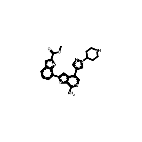 COC(=O)c1cc2cccc(-c3cc4c(-c5cnn(C6CCNCC6)c5)cnc(N)c4o3)c2s1